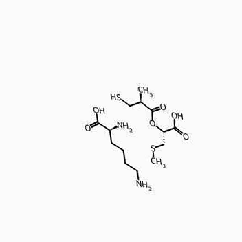 CSC[C@H](OC(=O)[C@H](C)CS)C(=O)O.NCCCC[C@H](N)C(=O)O